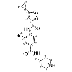 O=C(NCC1CCNCC1)c1ccc(NC(=O)c2cc(C3CC3)on2)c(Br)c1